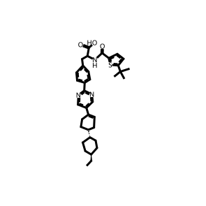 CC[C@H]1CC[C@H](C2CC=C(c3cnc(-c4ccc(CC(NC(=O)c5ccc(C(C)(C)C)s5)C(=O)O)cc4)nc3)CC2)CC1